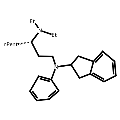 CCCCC[C@@H](CCN(c1ccccc1)C1Cc2ccccc2C1)N(CC)CC